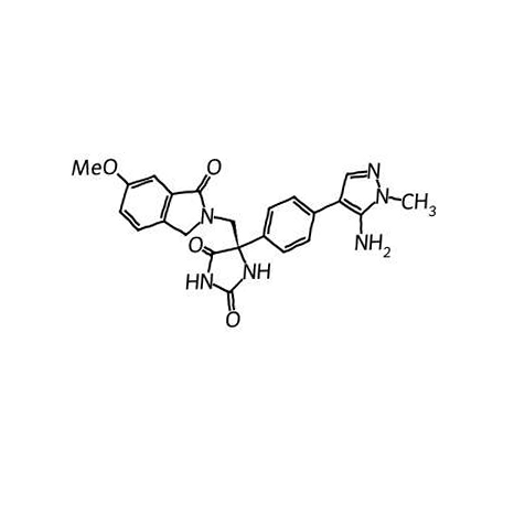 COc1ccc2c(c1)C(=O)N(C[C@@]1(c3ccc(-c4cnn(C)c4N)cc3)NC(=O)NC1=O)C2